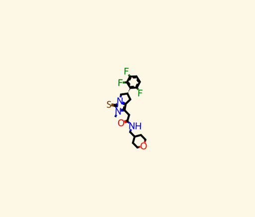 Cn1c(CC(=O)NCC2CCOCC2)c2n(c1=S)C[C@H](c1c(F)ccc(F)c1F)C2